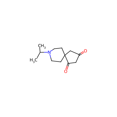 CC(C)N1CCC2(CC1)CC(=O)CC2=O